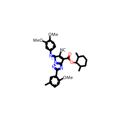 [C-]#[N+]C1=C(C(=O)OC2C(C)CCCC2C)c2nc(-c3cc(C)ccc3OC)nn2/C1=N/c1ccc(OC)c(OC)c1